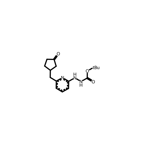 CC(C)(C)OC(=O)NNc1cccc(CC2CCC(=O)C2)n1